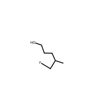 CC(CF)CCCO